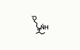 CCC(C)[C@@H](CCCOC)NC